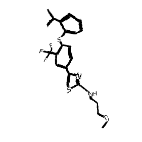 COCCCNc1nc(-c2ccc(Sc3ccccc3C(C)C)c(C(F)(F)F)c2)cs1